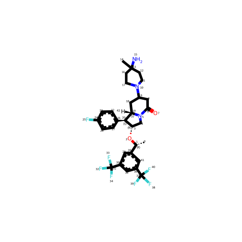 C[C@@H](O[C@H]1CN2C(=O)CC(N3CCC(C)(N)CC3)C[C@H]2[C@@H]1c1ccc(F)cc1)c1cc(C(F)(F)F)cc(C(F)(F)F)c1